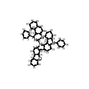 c1ccc(-c2nc(-n3c4ccc5c6ccccc6oc5c4c4ccc5c(c6ccccc6n5-c5ccccc5)c43)nc3ccc4ccccc4c23)cc1